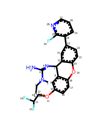 COCN(C)/C(N)=N\C1c2cc(OCC(F)F)ccc2Oc2ccc(-c3cccnc3F)cc21